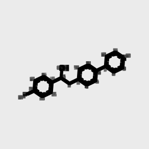 OC(Cc1ccc(-c2ccncc2)cc1)c1ccc(F)cc1